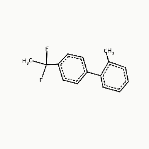 Cc1ccccc1-c1ccc(C(C)(F)F)cc1